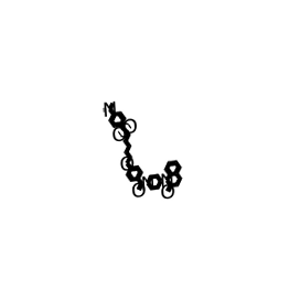 CN(C)c1ccc(S(=O)(=O)CCCCCOc2ccc(C(=O)N3CCC(N4C(=O)CCc5ccccc54)CC3)cc2)cc1